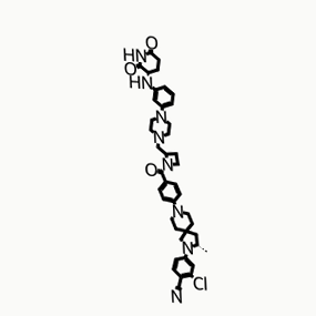 C[C@H]1CC2(CCN(c3ccc(C(=O)N4CCC4CN4CCN(c5cccc(N[C@H]6CCC(=O)NC6=O)c5)CC4)cc3)CC2)CN1c1ccc(C#N)c(Cl)c1